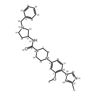 COc1cc(N2CCN(C(=O)NC3CCN(Cc4ccccc4)C3)CC2)ccc1-n1cnc(C)n1